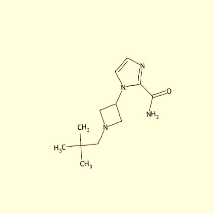 CC(C)(C)CN1CC(n2c[c]nc2C(N)=O)C1